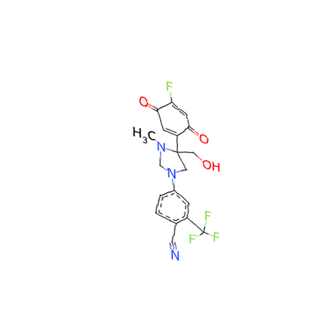 CN1CN(c2ccc(C#N)c(C(F)(F)F)c2)CC1(CO)C1=CC(=O)C(F)=CC1=O